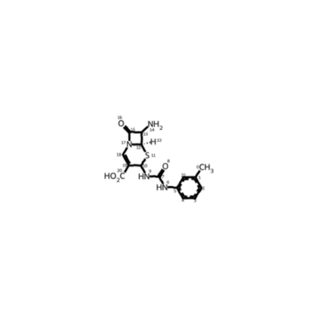 Cc1cccc(NC(=O)NC2S[C@@H]3C(N)C(=O)N3C=C2C(=O)O)c1